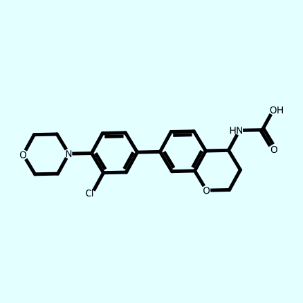 O=C(O)NC1CCOc2cc(-c3ccc(N4CCOCC4)c(Cl)c3)ccc21